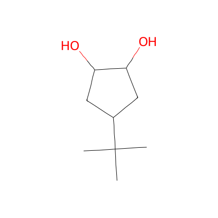 CC(C)(C)C1CC(O)C(O)C1